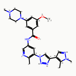 Cc1ncc(NC(=O)c2cc(OC(F)(F)F)cc(N3CCN(C)CC3)c2)cc1-n1cc(-c2cnn(C)c2C)nn1